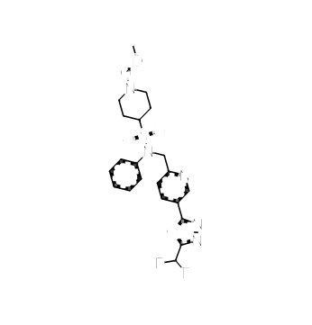 COON1CCC(S(=O)(=O)N(Cc2ccc(-c3nnc(C(F)F)o3)cn2)c2ccccc2)CC1